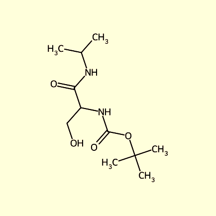 CC(C)NC(=O)C(CO)NC(=O)OC(C)(C)C